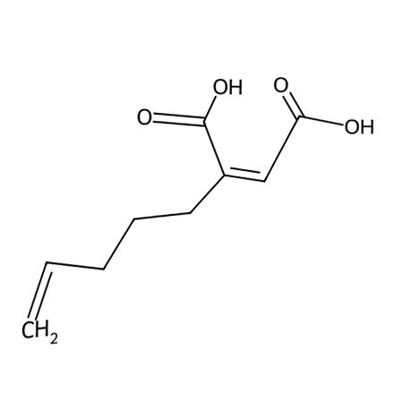 C=CCCCC(=CC(=O)O)C(=O)O